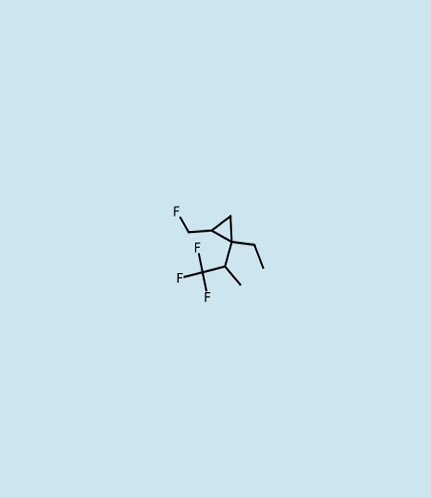 CCC1(C(C)C(F)(F)F)CC1CF